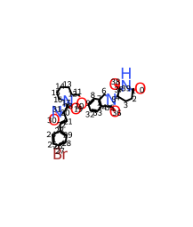 O=C1CCC(N2Cc3cc(OCC4CCCCN4C(=O)c4cc(-c5ccc(Br)cc5)on4)ccc3C2=O)C(=O)N1